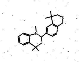 CN1c2ccccc2C(C)(C)CC1c1ccc2c(c1)C(C)(C)CSC2